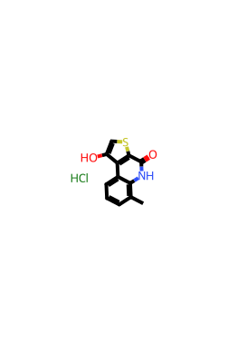 Cc1cccc2c1[nH]c(=O)c1scc(O)c12.Cl